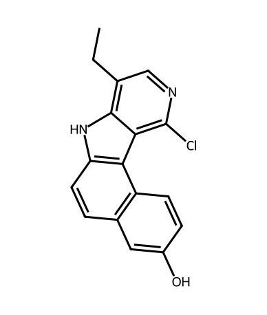 CCc1cnc(Cl)c2c1[nH]c1ccc3cc(O)ccc3c12